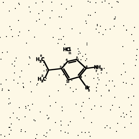 CC(C)c1ccc(N)c(Br)c1.Cl